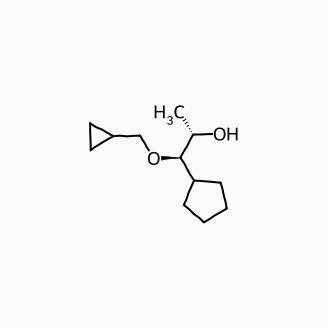 C[C@H](O)[C@H](OCC1CC1)C1CCCC1